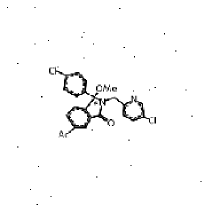 CO[C@]1(c2ccc(Cl)cc2)c2ccc(C(C)=O)cc2C(=O)N1Cc1ccc(Cl)cn1